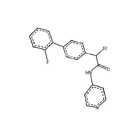 CCC(C(=O)Nc1ccncc1)c1ccc(-c2ccccc2F)cc1